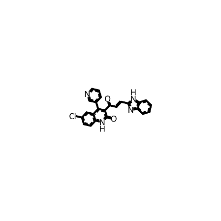 O=C(/C=C/c1nc2ccccc2[nH]1)c1c(-c2cccnc2)c2cc(Cl)ccc2[nH]c1=O